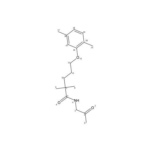 CC(=O)CNC(=O)C(C)(C)CCCOc1cc(C)ccc1C